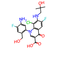 CC(C)(O)CNc1c(F)cc2c(=O)c(C(=O)O)cn(-c3cc(N)c(F)cc3CO)c2c1Cl